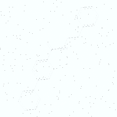 O=C(NCCc1ccccn1)c1ccc(-c2ccccc2)cc1